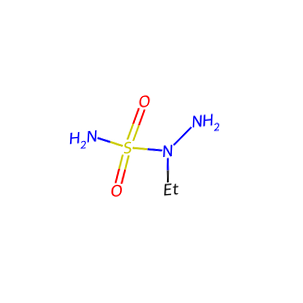 CCN(N)S(N)(=O)=O